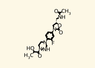 CC(=O)NC[C@H]1CN(c2ccc(N3CCN(C(=O)C(C)O)NC3)c(F)c2)C(=O)O1